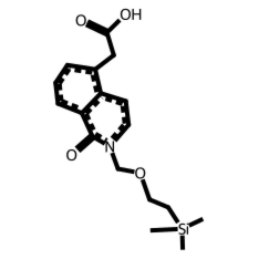 C[Si](C)(C)CCOCn1ccc2c(CC(=O)O)cccc2c1=O